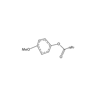 CC[CH]C(=O)Oc1ccc(OC)cc1